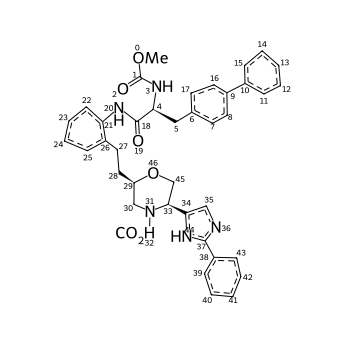 COC(=O)N[C@@H](Cc1ccc(-c2ccccc2)cc1)C(=O)Nc1ccccc1CC[C@@H]1CN(C(=O)O)[C@H](c2cnc(-c3ccccc3)[nH]2)CO1